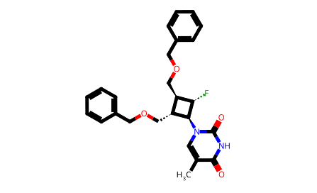 Cc1cn([C@@H]2[C@@H](F)[C@H](COCc3ccccc3)[C@H]2COCc2ccccc2)c(=O)[nH]c1=O